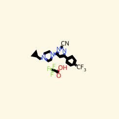 N#Cc1nc(-c2ccc(C(F)(F)F)cc2)cc(N2CCN(CC3CC3)CC2)n1.O=C(O)C(F)(F)F